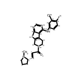 CN1CCC[C@H]1/C=C/C(=O)N1CCc2c(sc3ncnc(Nc4ccc(F)c(Cl)c4)c23)C1